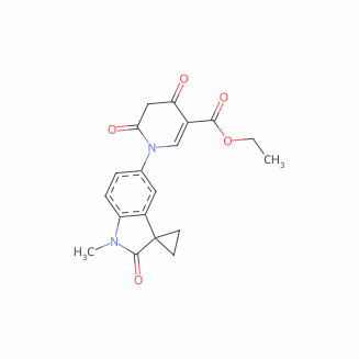 CCOC(=O)C1=CN(c2ccc3c(c2)C2(CC2)C(=O)N3C)C(=O)CC1=O